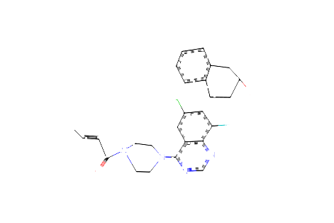 C/C=C/C(=O)N1CCN(c2ncnc3c(F)c([C@H]4C[C@](C)(O)Cc5ccccc54)c(Cl)cc23)CC1